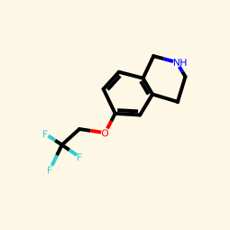 FC(F)(F)COc1ccc2c(c1)CCNC2